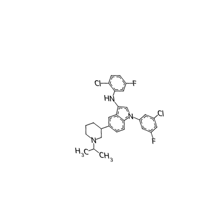 CC(C)N1CCCC(c2ccc3c(c2)c(Nc2cc(F)ccc2Cl)cn3-c2cc(F)cc(Cl)c2)C1